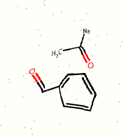 C[C](=O)[Na].O=Cc1ccccc1